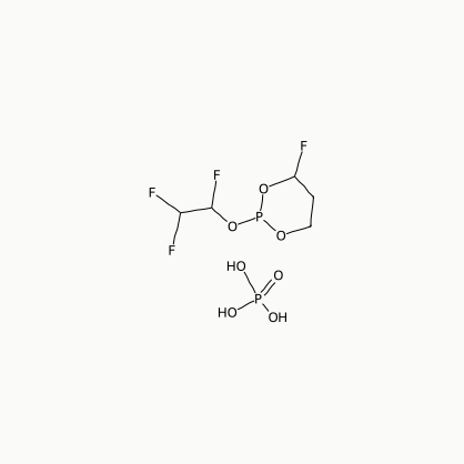 FC1CCOP(OC(F)C(F)F)O1.O=P(O)(O)O